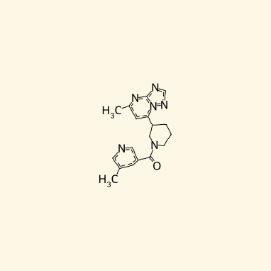 Cc1cncc(C(=O)N2CCCC(c3cc(C)nc4ncnn34)C2)c1